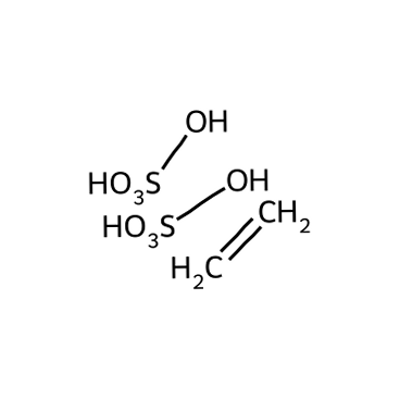 C=C.O=S(=O)(O)O.O=S(=O)(O)O